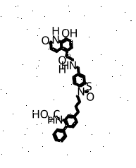 O=C(O)Nc1cc(CCCCn2c(=O)sc3cc(CNC[C@@H](O)c4ccc(O)c5[nH]c(=O)ccc45)ccc32)ccc1-c1ccccc1